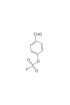 O=Cc1ccc(OS(=O)(=O)F)cc1